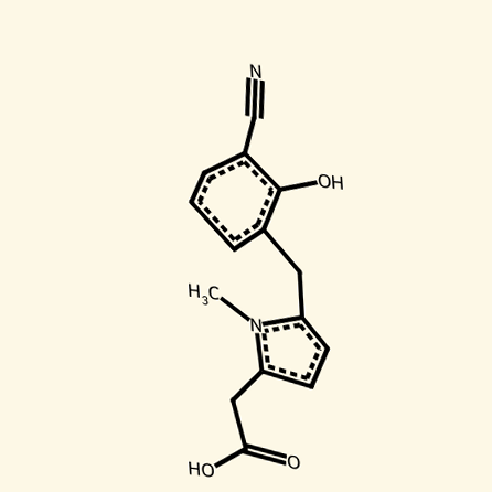 Cn1c(CC(=O)O)ccc1Cc1cccc(C#N)c1O